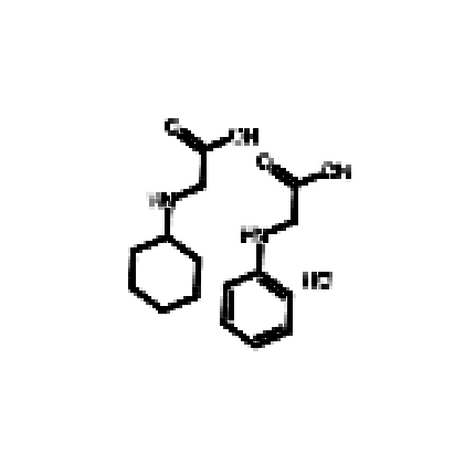 Cl.O=C(O)CNC1CCCCC1.O=C(O)CNc1ccccc1